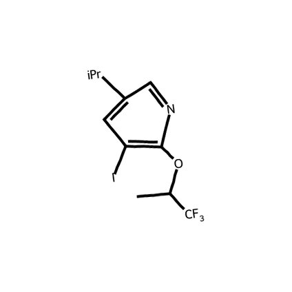 CC(C)c1cnc(OC(C)C(F)(F)F)c(I)c1